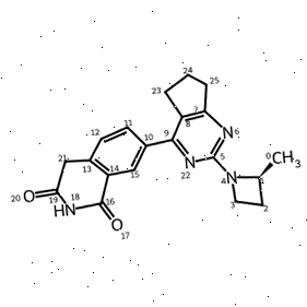 C[C@H]1CCN1c1nc2c(c(-c3ccc4c(c3)C(=O)NC(=O)C4)n1)CCC2